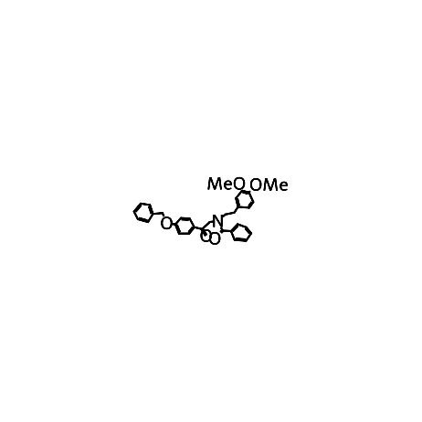 COc1ccc(CCN(CC(=O)c2ccc(OCc3ccccc3)cc2)C(=O)c2ccccc2)cc1OC